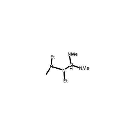 CCN(C)N(CC)[SiH](NC)NC